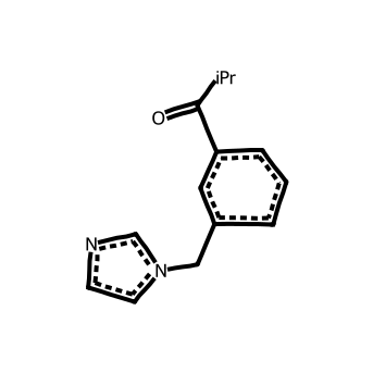 CC(C)C(=O)c1cccc(Cn2ccnc2)c1